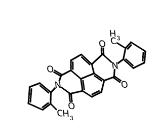 Cc1ccccc1N1C(=O)c2ccc3c4c(ccc(c24)C1=O)C(=O)N(c1ccccc1C)C3=O